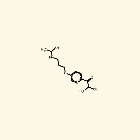 CC(S)NCCCOc1ccc(C(=O)C(C)C)nc1